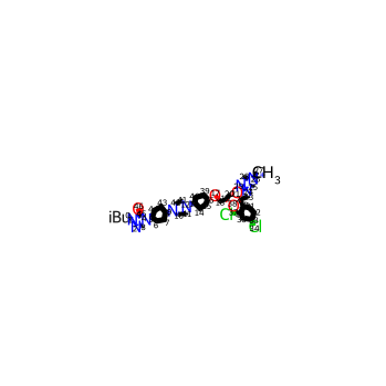 CCC(C)n1ncn(-c2ccc(N3CCN(c4ccc(OCC5COC(Cn6c[n+](C)cn6)(c6ccc(Cl)cc6Cl)O5)cc4)CC3)cc2)c1=O